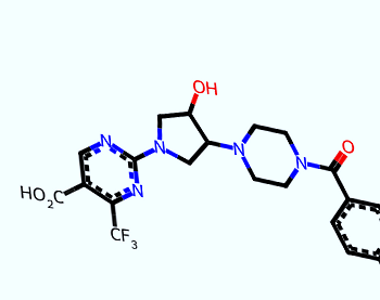 O=C(O)c1cnc(N2CC(O)C(N3CCN(C(=O)c4ccc(Cl)cc4)CC3)C2)nc1C(F)(F)F